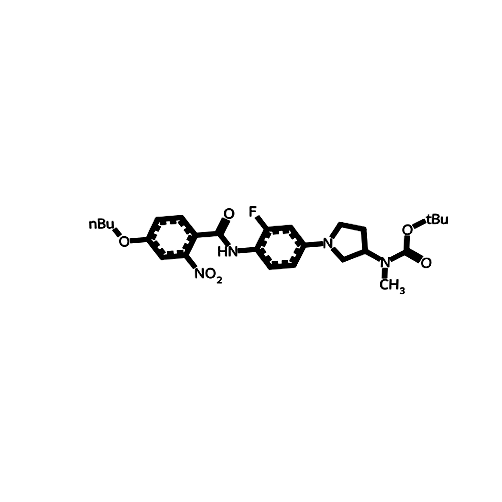 CCCCOc1ccc(C(=O)Nc2ccc(N3CCC(N(C)C(=O)OC(C)(C)C)C3)cc2F)c([N+](=O)[O-])c1